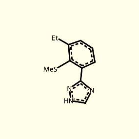 CCc1cccc(-c2nc[nH]n2)c1SC